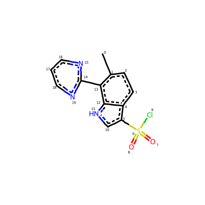 Cc1ccc2c(S(=O)(=O)Cl)c[nH]c2c1-c1ncccn1